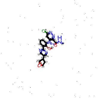 CNC(=O)c1nnc(Cl)cc1Nc1cccc(-c2ncc(C3CCOC3)cn2)c1OC